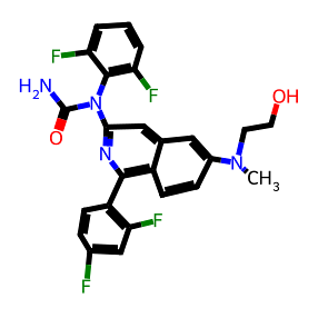 CN(CCO)c1ccc2c(-c3ccc(F)cc3F)nc(N(C(N)=O)c3c(F)cccc3F)cc2c1